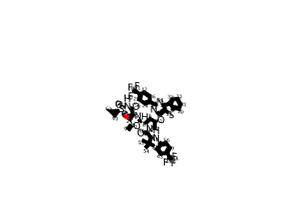 C=C[C@@H]1C[C@]1(NC(=O)[C@@H]1C[C@@H](Oc2nc(-c3ccc(C(F)(F)F)cc3)nc3c2sc2ccccc23)CN1C(=O)[C@@H](Nc1ccc(C(F)(F)F)cc1)C(C)(C)C)C(=O)NS(=O)(=O)C1CC1